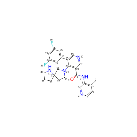 Cc1ccncc1NC(=O)c1cncc(-c2cc(F)cc(F)c2)c1N1CCC2(CCCN2)C1